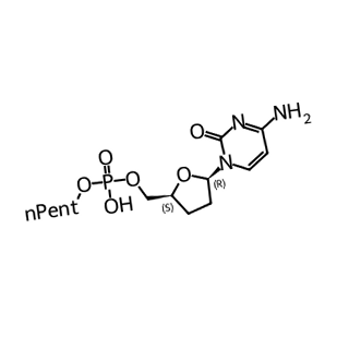 CCCCCOP(=O)(O)OC[C@@H]1CC[C@H](n2ccc(N)nc2=O)O1